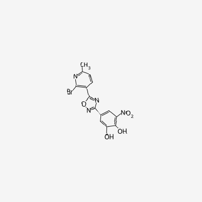 Cc1ccc(-c2nc(-c3cc(O)c(O)c([N+](=O)[O-])c3)no2)c(Br)n1